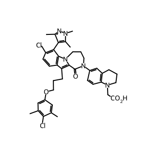 Cc1cc(OCCCc2c3n(c4c(-c5c(C)nn(C)c5C)c(Cl)ccc24)CCCN(c2ccc4c(c2)CCCN4CC(=O)O)C3=O)cc(C)c1Cl